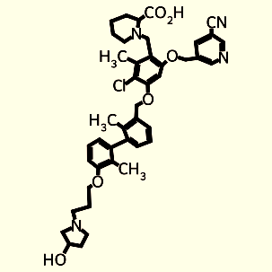 Cc1c(COc2cc(OCc3cncc(C#N)c3)c(CN3CCCCC3C(=O)O)c(C)c2Cl)cccc1-c1cccc(OCCCN2CCC(O)C2)c1C